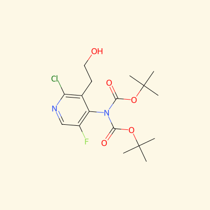 CC(C)(C)OC(=O)N(C(=O)OC(C)(C)C)c1c(F)cnc(Cl)c1CCO